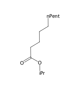 CCCCCCCCCC(=O)OC(C)C